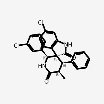 C[C@H]1C(=O)N[C@@H](c2cccc(Cl)c2)[C@]2(C(=O)Nc3cc(Cl)ccc32)[C@H]1c1ccccc1